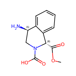 COC(=O)[C@H]1c2ccccc2[C@H](N)CN1C(=O)O